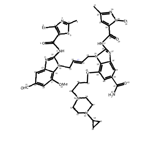 CCc1nc(C)sc1C(=O)Nc1nc2cc(C=O)cc(OC)c2n1C/C=C/Cn1c(NC(=O)c2cc(C)nn2CC)nc2cc(C(N)=O)cc(OCCCN3CCN(C4CC4)CC3)c21